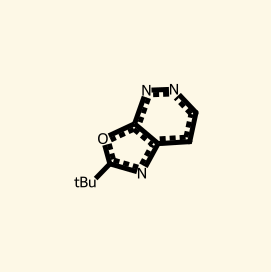 CC(C)(C)c1nc2ccnnc2o1